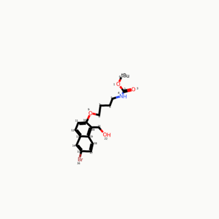 CC(C)(C)OC(=O)NCCCCOc1ccc2cc(Br)ccc2c1CO